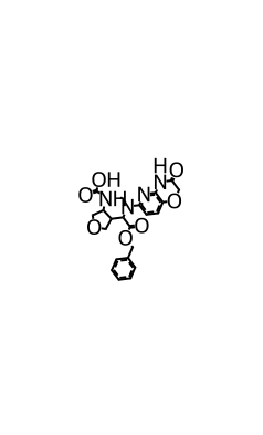 CN(c1ccc2c(n1)NC(=O)CO2)C(C(=O)OCc1ccccc1)C1COCC1NC(=O)O